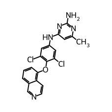 Cc1cc(Nc2cc(Cl)c(Oc3cccc4cnccc34)c(Cl)c2)nc(N)n1